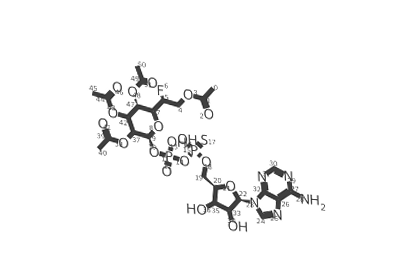 CC(=O)OC[C@H](F)C1O[C@@H](OP(=O)(O)OP(O)(=S)OC[C@H]2O[C@@H](n3cnc4c(N)ncnc43)C(O)C2O)C(OC(C)=O)C(OC(C)=O)[C@@H]1OC(C)=O